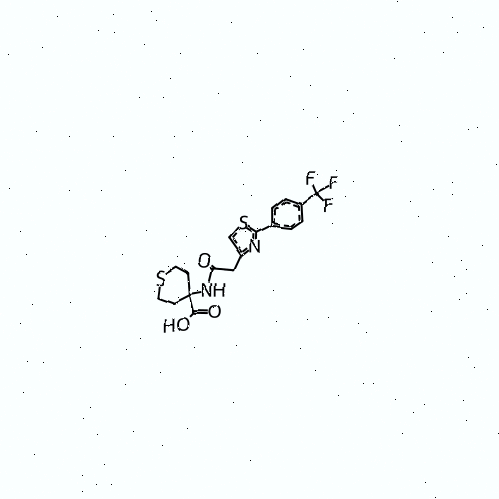 O=C(Cc1csc(-c2ccc(C(F)(F)F)cc2)n1)NC1(C(=O)O)CCSCC1